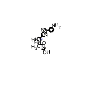 CC(N/C=C(\C=N)c1cnn2c(-c3cccc(N)c3)cnc2c1)C(=O)N1CC(O)C1